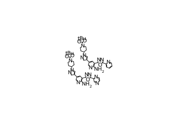 CC(C)(C)OC(=O)N1CCC(n2cc(-c3cnc(N)c(-c4nnc(-c5ccccn5)o4)c3)cn2)CC1.CC(C)(C)OC(=O)N1CCC(n2cc(-c3cnc(N)c(-c4nnc(-c5cnccn5)o4)c3)cn2)CC1